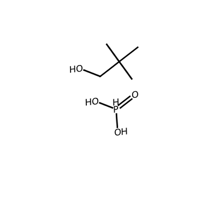 CC(C)(C)CO.O=[PH](O)O